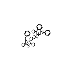 CC(C)(COC1C(=O)SC(=O)N1Cc1ccccc1)N1CN(c2ccccc2)c2ccccc2C1=O